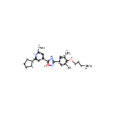 CCc1cc(-c2noc(-c3cc(OC)nc(C4CCCC4)c3)n2)cc(C)c1OCCCNC